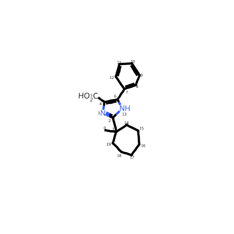 CC1(c2nc(C(=O)O)c(-c3ccccc3)[nH]2)CCCCCC1